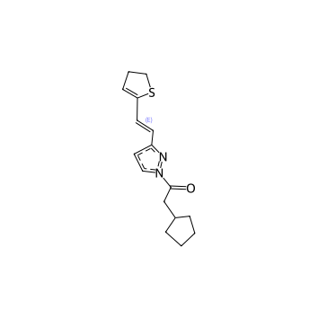 O=C(CC1CCCC1)n1ccc(/C=C/C2=CCCS2)n1